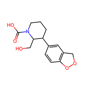 O=C(O)N1CCCC(c2ccc3c(c2)COO3)C1CO